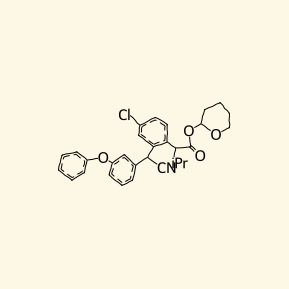 CC(C)C(C(=O)OC1CCCCO1)c1ccc(Cl)cc1C(C#N)c1cccc(Oc2ccccc2)c1